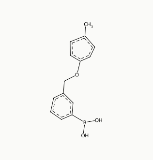 Cc1ccc(OCc2cccc(B(O)O)c2)cc1